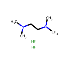 CN(C)CCN(C)C.F.F